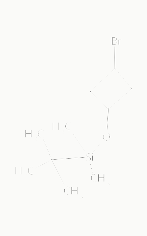 CC(C)(C)[Si](C)(C)OC1CC(Br)C1